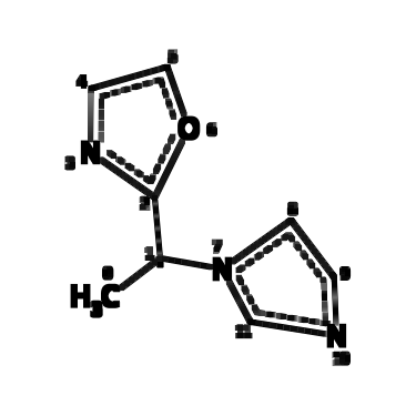 C[C](c1ncco1)n1ccnc1